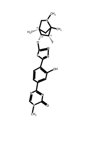 CN1C[C@@]2(C)CC1(C)[C@H](F)[C@@H]2Oc1nnc(-c2ccc(-c3ncn(C)c(=O)n3)cc2O)s1